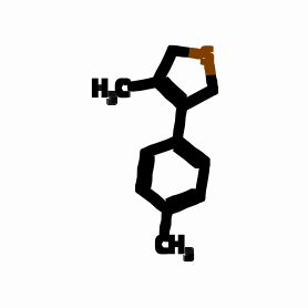 CC1=C(c2ccc(C)cc2)CSC1